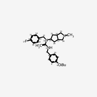 C=C(NCc1ccc(OCC(C)C)cc1)N(Cc1ccc(F)cc1)C1CC2CN(C)CC2C1